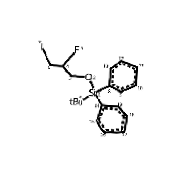 CC(C)(C)[Si](OCC(F)CI)(c1ccccc1)c1ccccc1